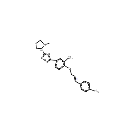 CN1CCC[C@H]1c1nc(-c2ccc(OC/C=C/c3ccc(C(F)(F)F)cc3)c(C(F)(F)F)c2)no1